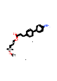 CC(C)O[Si](C)(C)CCCOC(=O)CCc1ccc(-c2ccc(N)cc2)cc1